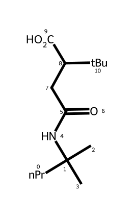 CCCC(C)(C)NC(=O)CC(C(=O)O)C(C)(C)C